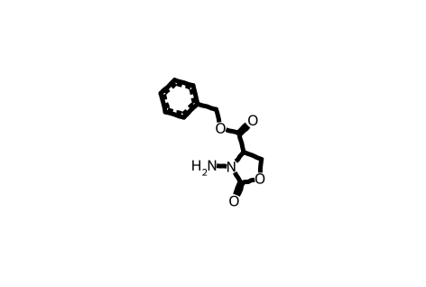 NN1C(=O)OCC1C(=O)OCc1ccccc1